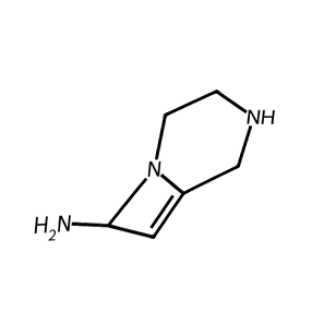 NC1C=C2CNCCN21